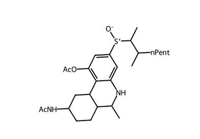 CCCCCC(C)C(C)[S+]([O-])c1cc2c(c(OC(C)=O)c1)C1CC(NC(C)=O)CCC1C(C)N2